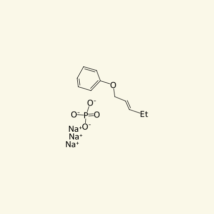 CCC=CCOc1ccccc1.O=P([O-])([O-])[O-].[Na+].[Na+].[Na+]